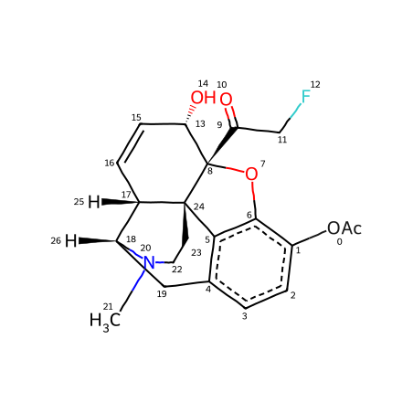 CC(=O)Oc1ccc2c3c1O[C@@]1(C(=O)CF)[C@@H](O)C=C[C@H]4[C@@H](C2)N(C)CC[C@@]341